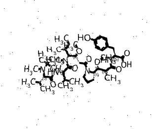 CC[C@H](C)[C@@H]([C@@H](CC(=O)N1CCC[C@H]1[C@H](OC)[C@@H](C)C(=O)N[C@@H](Cc1ccc(O)cc1)C(=O)O)OC)N(C)C(=O)[C@@H](NC(=O)[C@H](C(C)C)N(C)C(C)(C)C)C(C)C